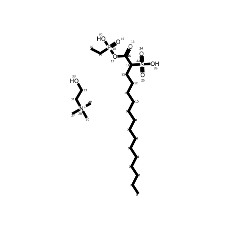 CCCCCCCCCCCCCCC(C(=O)OP(=O)(O)CC)S(=O)(=O)O.C[N+](C)(C)CCO